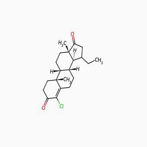 CCC1CC(=O)[C@@]2(C)CC[C@@H]3[C@@H](CCC4=C(Cl)C(=O)CC[C@@]43C)[C@H]12